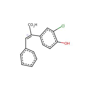 O=C(O)/C(=C/c1ccccc1)c1ccc(O)c(Cl)c1